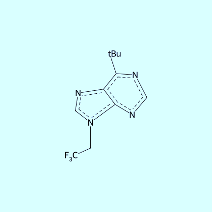 CC(C)(C)c1ncnc2c1ncn2CC(F)(F)F